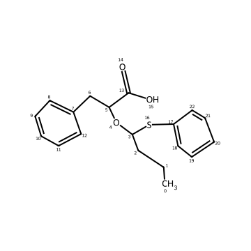 CCCC(OC(Cc1ccccc1)C(=O)O)Sc1ccccc1